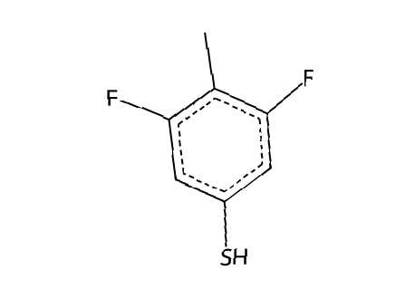 Cc1c(F)cc(S)cc1F